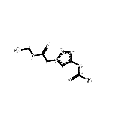 CCOC(=O)C[n+]1cc([N-]C(C)=O)on1